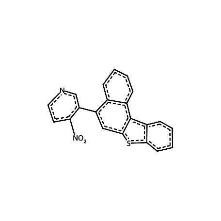 O=[N+]([O-])c1ccncc1-c1cc2sc3ccccc3c2c2ccccc12